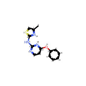 Cc1csc(Nc2nccc(Oc3ccccc3)n2)n1